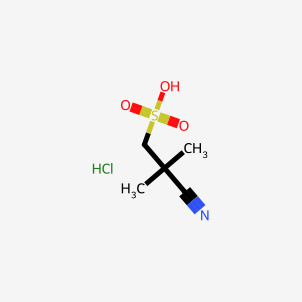 CC(C)(C#N)CS(=O)(=O)O.Cl